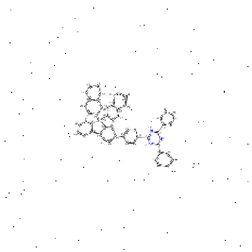 c1ccc(-c2nc(-c3ccccc3)nc(-c3ccc(-c4ccc5c(c4)[Si](c4ccc6ccccc6c4)(c4ccc6ccccc6c4)c4ccccc4-5)cc3)n2)cc1